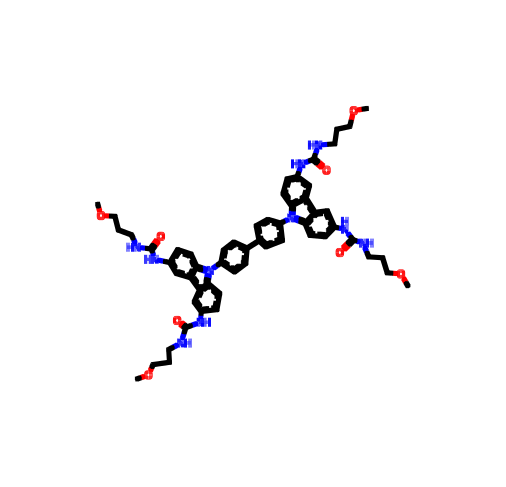 COCCCNC(=O)Nc1ccc2c(c1)c1cc(NC(=O)NCCCOC)ccc1n2-c1ccc(-c2ccc(-n3c4ccc(NC(=O)NCCCOC)cc4c4cc(NC(=O)NCCCOC)ccc43)cc2)cc1